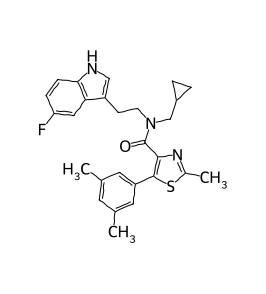 Cc1cc(C)cc(-c2sc(C)nc2C(=O)N(CCc2c[nH]c3ccc(F)cc23)CC2CC2)c1